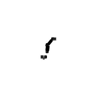 O.[O]=[Al][OH]